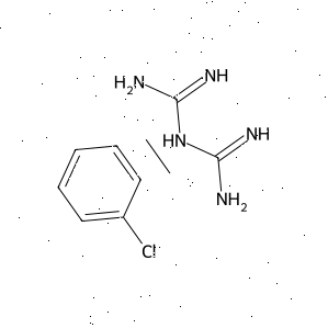 CC.Clc1ccccc1.N=C(N)NC(=N)N